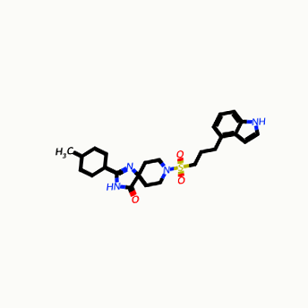 CC1CCC(C2=NC3(CCN(S(=O)(=O)CCCc4cccc5[nH]ccc45)CC3)C(=O)N2)CC1